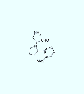 CSc1ccccc1C1CCCN1C(C=O)CN